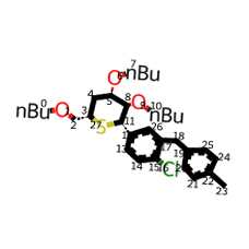 CCCCOC[C@@H]1C[C@H](OCCCC)[C@@H](OCCCC)[C@H](c2ccc(Cl)c(Cc3ccc(C)cc3)c2)S1